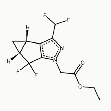 CCOC(=O)Cn1nc(C(F)F)c2c1C(F)(F)[C@@H]1C[C@H]21